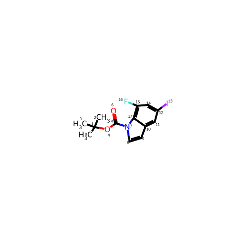 CC(C)(C)OC(=O)n1ccc2cc(I)cc(F)c21